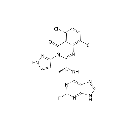 CC[C@H](Nc1nc(F)nc2[nH]cnc12)c1nc2c(Cl)ccc(Cl)c2c(=O)n1-c1cc[nH]n1